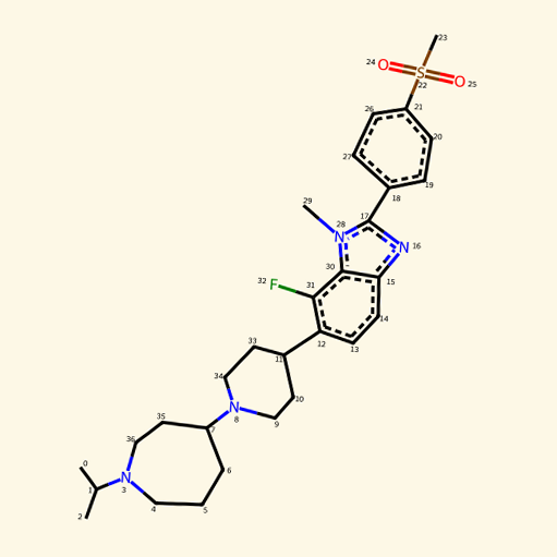 CC(C)N1CCCC(N2CCC(c3ccc4nc(-c5ccc(S(C)(=O)=O)cc5)n(C)c4c3F)CC2)CC1